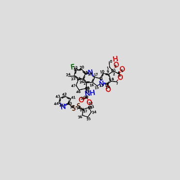 CC[C@@]1(O)C(=O)OCc2c1cc1n(c2=O)Cc2c-1nc1cc(F)c(C)c3c1c2[C@@H](NC(=O)O[C@@H]1CCC[C@H]1SSc1ccccn1)CC3